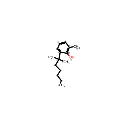 CCCCCC(C)(C)c1c[c]cc(C)c1O